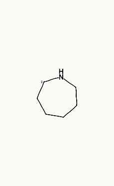 [C]1CCCCCN1